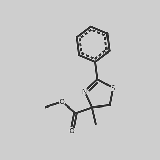 COC(=O)C1(C)CSC(c2ccccc2)=N1